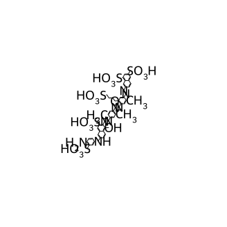 Cc1cc(N=Nc2cc(C)c(N=Nc3c(S(=O)(=O)O)cc4cc(Nc5ccc(N)c(S(=O)(=O)O)c5)ccc4c3O)cc2C)c(OCCCS(=O)(=O)O)cc1N=Nc1ccc2cc(S(=O)(=O)O)cc(S(=O)(=O)O)c2c1